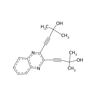 CC(C)(O)C#Cc1nc2ccccc2nc1C#CC(C)(C)O